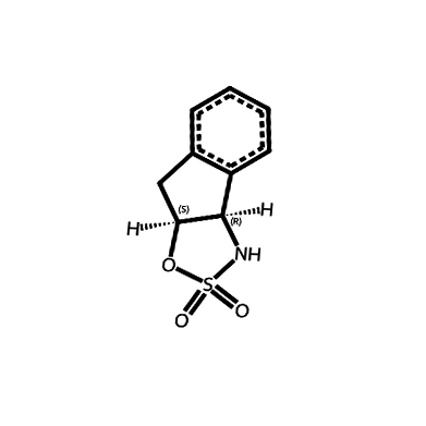 O=S1(=O)N[C@@H]2c3ccccc3C[C@@H]2O1